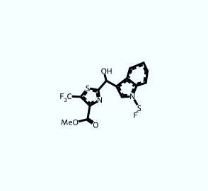 COC(=O)c1nc(C(O)c2cn(SF)c3ccccc23)sc1C(F)(F)F